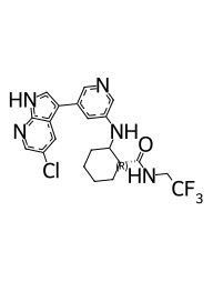 O=C(NCC(F)(F)F)[C@@H]1CCCCC1Nc1cncc(-c2c[nH]c3ncc(Cl)cc23)c1